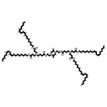 CCCCC/C=C\C/C=C\CCCCCCCCOC(=O)CCN(CCCC(=O)OCCN1CC(C)N(CCOC(=O)CCCN(CCC(=O)OCCCCCCCC/C=C\C/C=C\CCCCC)CCC(=O)OCCCCCCCC/C=C\C/C=C\CCCCC)CC1C)CCC(=O)OCCCCCCCC/C=C\C/C=C\CCCCC